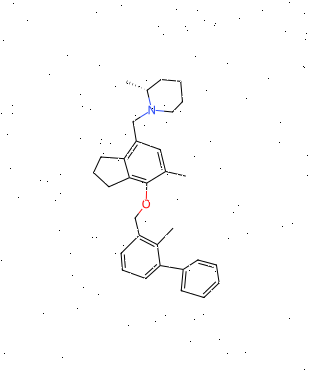 Cc1cc(CN2CCCC[C@H]2C)c2c(c1OCc1cccc(-c3ccccc3)c1C)CCC2